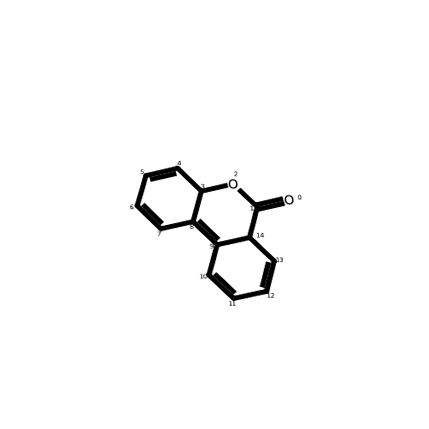 O=C1OC2C=CC=CC2=C2C=CC=CC12